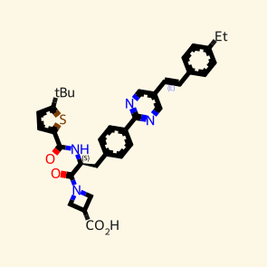 CCc1ccc(/C=C/c2cnc(-c3ccc(C[C@H](NC(=O)c4ccc(C(C)(C)C)s4)C(=O)N4CC(C(=O)O)C4)cc3)nc2)cc1